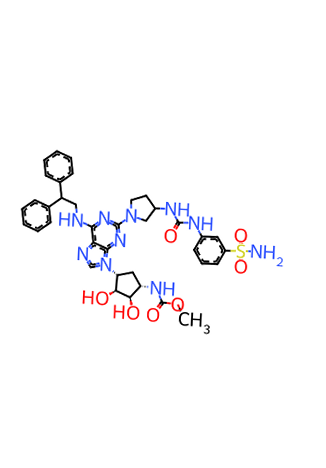 COC(=O)N[C@H]1C[C@@H](n2cnc3c(NCC(c4ccccc4)c4ccccc4)nc(N4CCC(NC(=O)Nc5cccc(S(N)(=O)=O)c5)C4)nc32)[C@H](O)[C@@H]1O